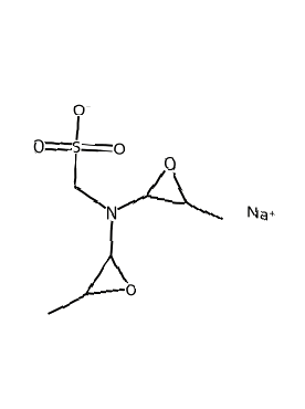 CC1OC1N(CS(=O)(=O)[O-])C1OC1C.[Na+]